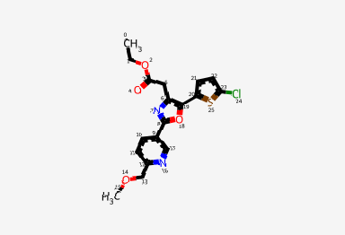 CCOC(=O)Cc1nc(-c2ccc(COC)nc2)oc1-c1ccc(Cl)s1